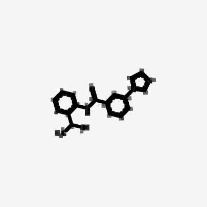 CC(O)c1ccccc1NC(=O)c1cccc(-n2ccnc2)c1